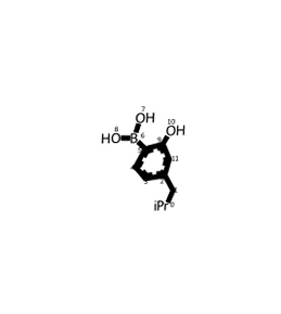 CC(C)Cc1ccc(B(O)O)c(O)c1